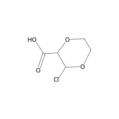 O=C(O)C1OCCOC1Cl